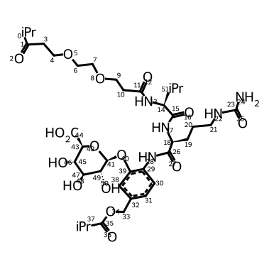 CC(C)C(=O)CCOCCOCCC(=O)N[C@H](C(=O)N[C@@H](CCCNC(N)=O)C(=O)Nc1ccc(COC(=O)C(C)C)cc1O[C@@H]1O[C@H](C(=O)O)[C@@H](O)[C@H](O)[C@H]1O)C(C)C